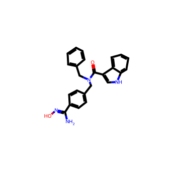 NC(=NO)c1ccc(CN(Cc2ccccc2)C(=O)c2c[nH]c3ccccc23)cc1